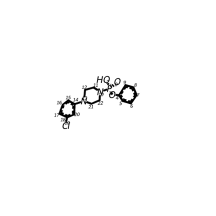 O=P(O)(Oc1ccccc1)N1CCN(c2cccc(Cl)c2)CC1